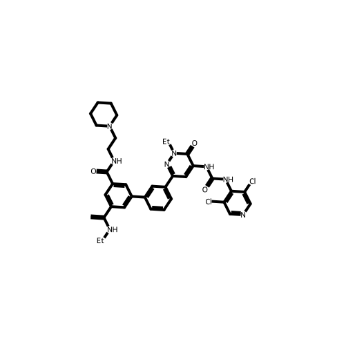 C=C(NCC)c1cc(C(=O)NCCN2CCCCC2)cc(-c2cccc(-c3cc(NC(=O)Nc4c(Cl)cncc4Cl)c(=O)n(CC)n3)c2)c1